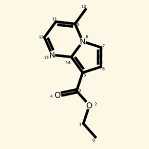 CCOC(=O)c1ccn2c(C)ccnc12